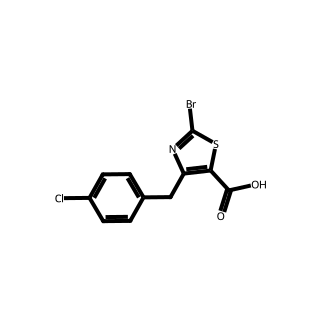 O=C(O)c1sc(Br)nc1Cc1ccc(Cl)cc1